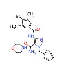 C1COCCN1.CCc1c(C)cc(C(=O)Nc2ncn(Cc3ccccc3)c2C(N)=O)cc1C